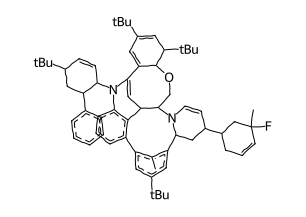 Cc1c2cc(C(C)(C)C)cc1C1CC(C3CC=CC(C)(F)C3)C=CN1C1COC3C(=CC(C(C)(C)C)=CC3C(C)(C)C)C3=CC1c1c-2cccc1N3C1C=CC(C(C)(C)C)CC1c1ccccc1